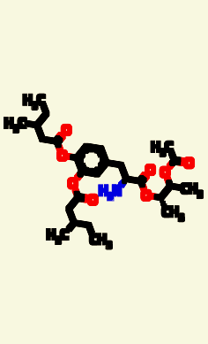 CCC(C)CC(=O)Oc1ccc(C[C@H](N)C(=O)O[C@@H](C)C(C)OC(C)=O)cc1OC(=O)CC(C)CC